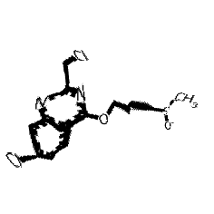 C[S+]([O-])CCCOc1nc(CCl)nc2cc(Cl)ccc12